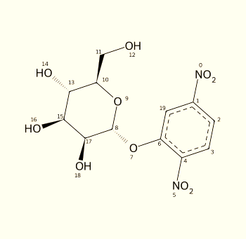 O=[N+]([O-])c1ccc([N+](=O)[O-])c(O[C@H]2O[C@H](CO)[C@@H](O)[C@H](O)[C@@H]2O)c1